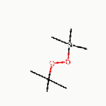 CC(C)(C)OO[Si](C)(C)C